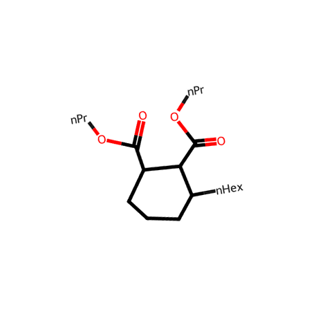 CCCCCCC1CCCC(C(=O)OCCC)C1C(=O)OCCC